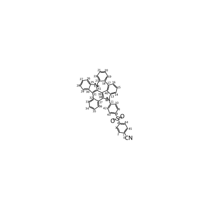 N#Cc1ccc(S(=O)(=O)c2ccc(-n3c4cccc5c6ccccc6n6c7ccccc7c7c8ccccc8c3c(c54)c76)cc2)cc1